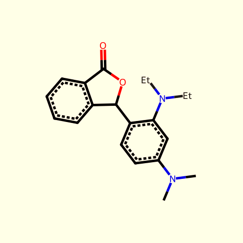 CCN(CC)c1cc(N(C)C)ccc1C1OC(=O)c2ccccc21